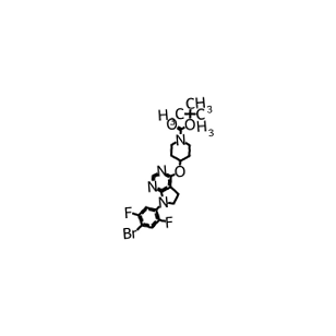 CC(C)(C)OC(=O)N1CCC(Oc2ncnc3c2CCN3c2cc(F)c(Br)cc2F)CC1